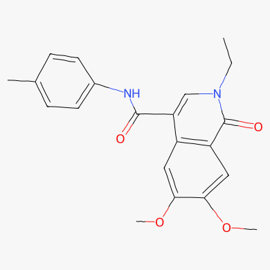 CCn1cc(C(=O)Nc2ccc(C)cc2)c2cc(OC)c(OC)cc2c1=O